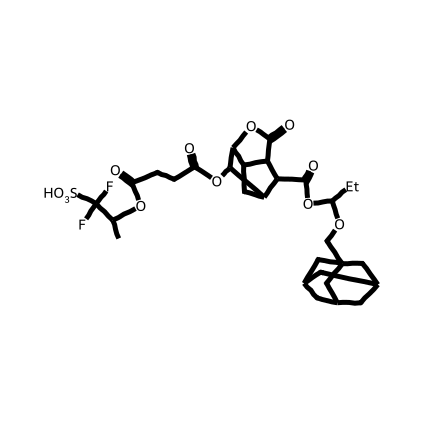 CCC(OCC12CC3CC(CC(C3)C1)C2)OC(=O)C1C2CC3C(OC(=O)C31)C2OC(=O)CCC(=O)OC(C)C(F)(F)S(=O)(=O)O